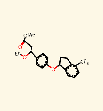 CCO[C@@H](CC(=O)OC)c1ccc(OC2CCc3c2cccc3C(F)(F)F)cc1